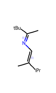 C/C(=C\N=C(/C)C(C)(C)C)C(C)C